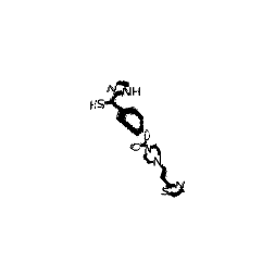 O=C(Oc1ccc(C(S)c2ncc[nH]2)cc1)N1CCN(CCc2nccs2)CC1